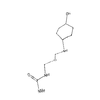 CNC(=O)NCOCNC1CCC(O)CC1